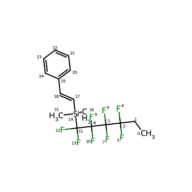 CCC(F)(F)C(F)(F)C(F)(F)C(F)(F)[Si](C)(C)C=Cc1ccccc1